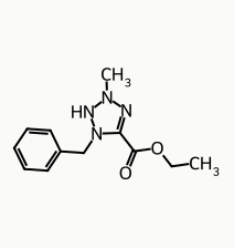 CCOC(=O)C1=NN(C)NN1Cc1ccccc1